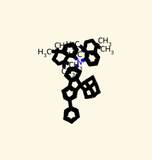 CC1(C)CCC(C)(C)c2c(N(c3ccc4c(c3)C3(c5cc(-c6ccccc6)ccc5-4)C4CC5CC6CC3C64C5)c3cccc4c3C(C)(C)CCC4(C)C)cccc21